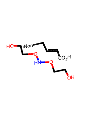 CCCCCCCCCCC=CC(=O)O.OCCONOCCO